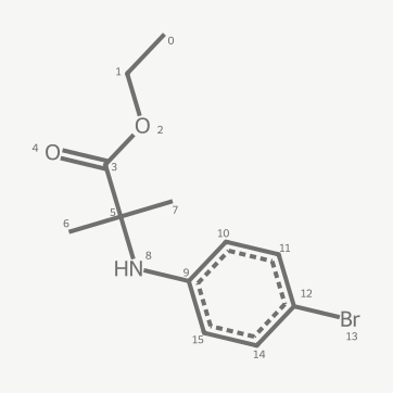 CCOC(=O)C(C)(C)Nc1ccc(Br)cc1